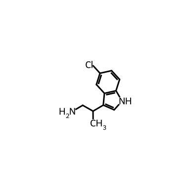 CC(CN)c1c[nH]c2ccc(Cl)cc12